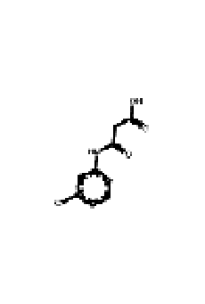 O=C(O)CC(=O)Nc1cccc(Cl)c1